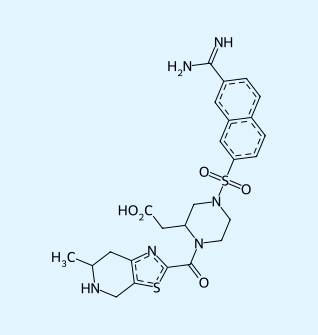 CC1Cc2nc(C(=O)N3CCN(S(=O)(=O)c4ccc5ccc(C(=N)N)cc5c4)CC3CC(=O)O)sc2CN1